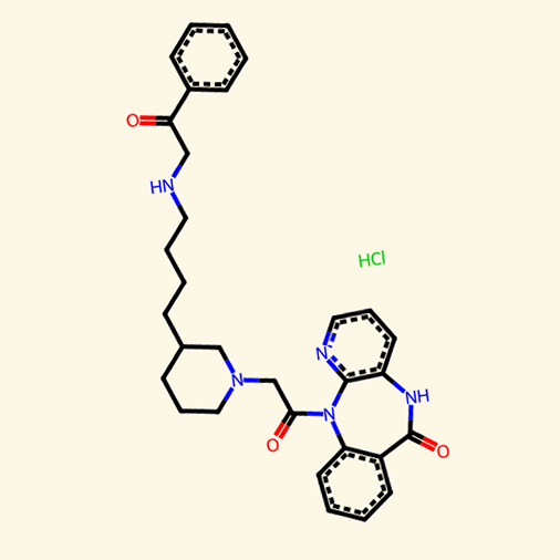 Cl.O=C(CNCCCCC1CCCN(CC(=O)N2c3ccccc3C(=O)Nc3cccnc32)C1)c1ccccc1